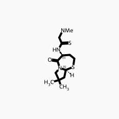 CNCC(=S)N[C@H]1CCS[C@H]2CC(C)(C)CN2C1=O